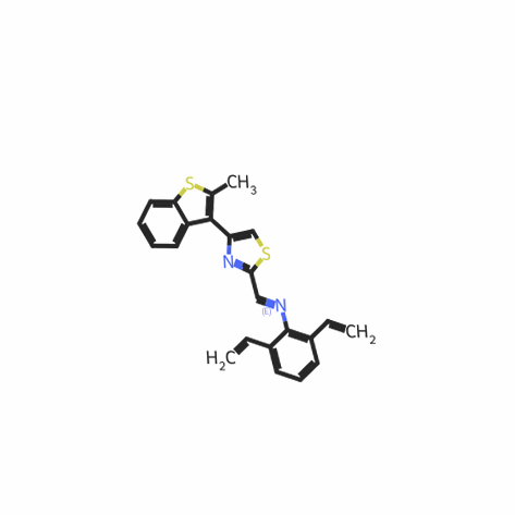 C=Cc1cccc(C=C)c1/N=C/c1nc(-c2c(C)sc3ccccc23)cs1